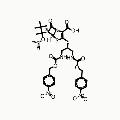 C[SiH](C)OC(C)([C@H]1C(=O)N2C(C(=O)O)=C(SC(CNC(=O)OCc3ccc([N+](=O)[O-])cc3)CNC(=O)OCc3ccc([N+](=O)[O-])cc3)S[C@@H]12)C(C)(C)C